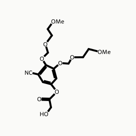 COCCOCOc1cc(OC(=O)CO)cc(C#N)c1OCOCCOC